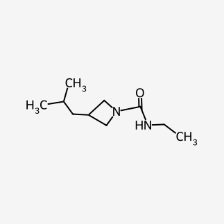 CCNC(=O)N1CC(CC(C)C)C1